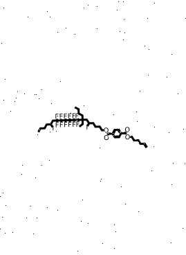 C=CCCCCOC(=O)c1ccc(C(=O)OCCCCC(I)CC(CC)(CCCC)C(F)(F)C(F)(F)C(F)(F)C(F)(F)C(F)(F)C(F)(F)CC(I)CCCC)cc1